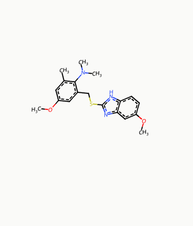 COc1cc(C)c(N(C)C)c(CSc2nc3cc(OC)ccc3[nH]2)c1